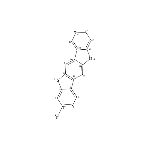 Clc1ccc2c(c1)sc1cc3c(cc12)oc1ccccc13